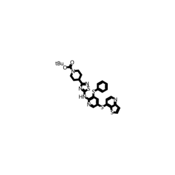 CC(C)(C)OC(=O)N1CCC(c2nsc(Nc3ncc(Sc4ccnc5ccsc45)cc3Sc3ccccc3)n2)CC1